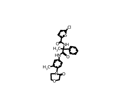 Cc1cc(NC(=O)C(C)(NC(=O)c2ccc(Cl)s2)c2ccccc2)ccc1N1CCOCC1=O